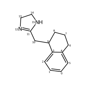 c1ccc2c(c1)CCCC2CC1=NCCN1